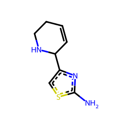 Nc1nc(C2C=CCCN2)cs1